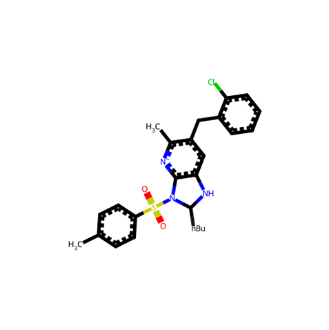 CCCCC1Nc2cc(Cc3ccccc3Cl)c(C)nc2N1S(=O)(=O)c1ccc(C)cc1